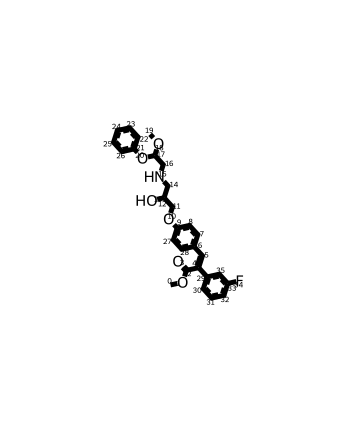 COC(=O)C(=Cc1ccc(OCC(O)CNCC(OC)Oc2ccccc2)cc1)c1cccc(F)c1